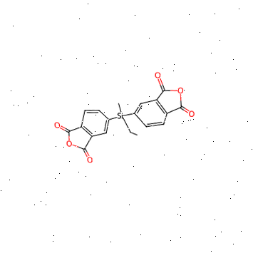 CC[Si](C)(c1ccc2c(c1)C(=O)OC2=O)c1ccc2c(c1)C(=O)OC2=O